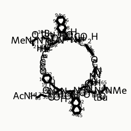 CN[C@@H](C)C(=O)N[C@H](C(=O)N1C[C@H]2CCCCOc3ccc(cc3)C[C@@H](C(=O)NS(=O)(=O)CCCNC(C)=O)NC(=O)[C@H](Cc3ccc4ccccc4c3)NC(=O)[C@@H]3C[C@@H](CN3C(=O)[C@@H](NC(=O)[C@H](C)NC)C(C)(C)C)n3cc(nn3)COc3ccc(cc3)C[C@@H](C(=O)O)NC(=O)[C@H](Cc3ccc4ccccc4c3)NC(=O)[C@@H]1C2)C(C)(C)C